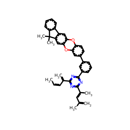 C=C(C)/C=C(\C)c1nc(C(=C)/C=C\C)nc(-c2cccc(-c3ccc4c(c3)Oc3cc5c(cc3O4)-c3ccccc3C5(C)C)c2)n1